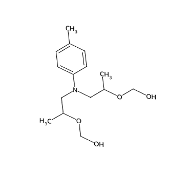 Cc1ccc(N(CC(C)OCO)CC(C)OCO)cc1